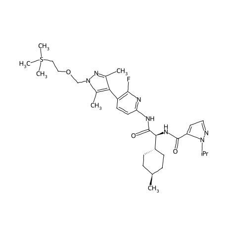 Cc1nn(COCCS(C)(C)C)c(C)c1-c1ccc(NC(=O)[C@@H](NC(=O)c2ccnn2C(C)C)[C@H]2CC[C@H](C)CC2)nc1F